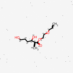 C=CCOCCOC(=O)C(=C)C(O)CCCO